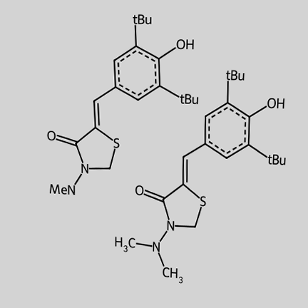 CN(C)N1CS/C(=C\c2cc(C(C)(C)C)c(O)c(C(C)(C)C)c2)C1=O.CNN1CS/C(=C\c2cc(C(C)(C)C)c(O)c(C(C)(C)C)c2)C1=O